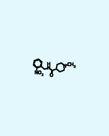 CN1CCC(C(=O)NCc2ccccc2[N+](=O)[O-])CC1